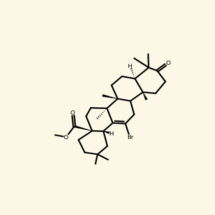 COC(=O)[C@]12CCC(C)(C)C[C@H]1C1=C(Br)CC3[C@@]4(C)CCC(=O)C(C)(C)[C@@H]4CC[C@@]3(C)[C@]1(C)CC2